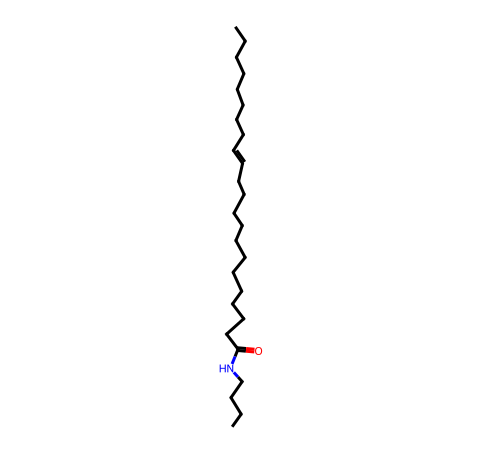 CCCCCCCCC=CCCCCCCCCCCCC(=O)NCCCC